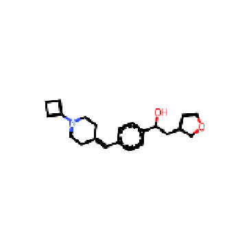 OC(CC1CCOC1)c1ccc(C=C2CCN(C3CCC3)CC2)cc1